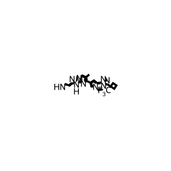 CN/C(=C\C=N)Nc1ncc(C)c(-c2cc3c4nnc(C5(C(F)(F)F)CCC5)n4ccn3c2)n1